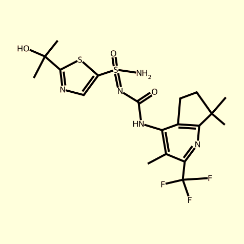 Cc1c(C(F)(F)F)nc2c(c1NC(=O)N=S(N)(=O)c1cnc(C(C)(C)O)s1)CCC2(C)C